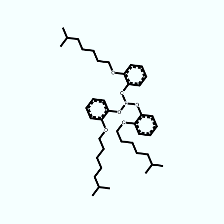 CC(C)CCCCCOc1ccccc1OP(Oc1ccccc1OCCCCCC(C)C)Oc1ccccc1OCCCCCC(C)C